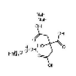 O.O.O.O=C(O)CC(O)(CC(=O)O)C(=O)O.[NaH].[NaH].[NaH]